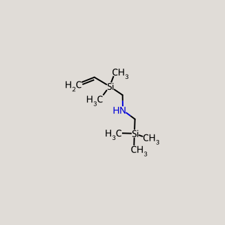 C=C[Si](C)(C)CNC[Si](C)(C)C